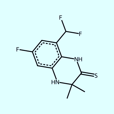 CC1(C)Nc2cc(F)cc(C(F)F)c2NC1=S